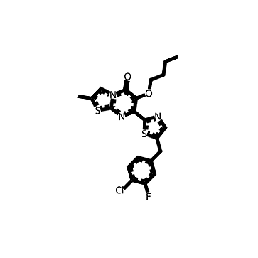 CCCCOc1c(-c2ncc(Cc3ccc(Cl)c(F)c3)s2)nc2sc(C)cn2c1=O